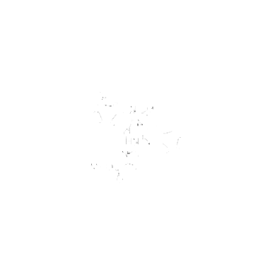 COC(=O)c1csc(NC(=O)C(Cc2ccccc2)N2C(=O)NC(c3cccc(O)c3)C2=O)n1